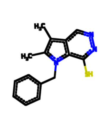 Cc1c(C)n(Cc2ccccc2)c2c(S)nncc12